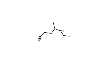 CCNC(C)CCC#N